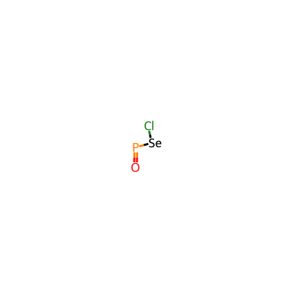 O=P[Se]Cl